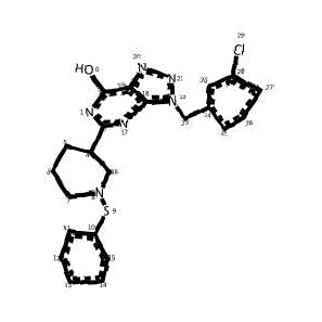 Oc1nc(C2CCCN(Sc3ccccc3)C2)nc2c1nnn2Cc1cccc(Cl)c1